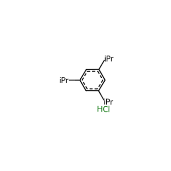 CC(C)c1cc(C(C)C)cc(C(C)C)c1.Cl